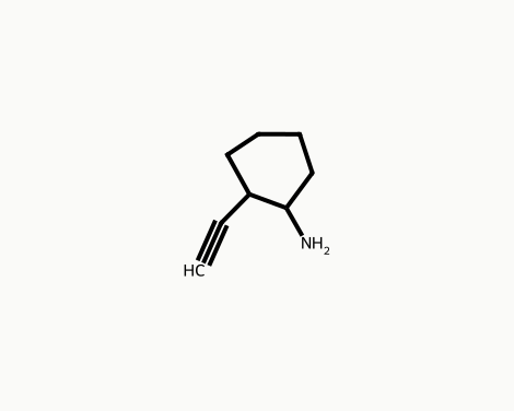 C#CC1CCCCC1N